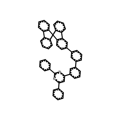 c1ccc(-c2cc(-c3cccc(-c4cccc(-c5ccc6c(c5)-c5ccccc5C65c6ccccc6-c6ccccc65)c4)c3)nc(-c3ccccc3)n2)cc1